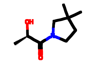 C[C@H](O)C(=O)N1CCC(C)(C)C1